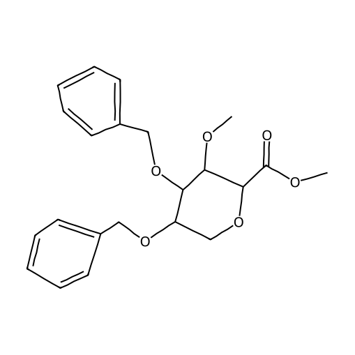 COC(=O)C1OCC(OCc2ccccc2)C(OCc2ccccc2)C1OC